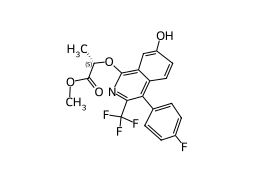 COC(=O)[C@H](C)Oc1nc(C(F)(F)F)c(-c2ccc(F)cc2)c2ccc(O)cc12